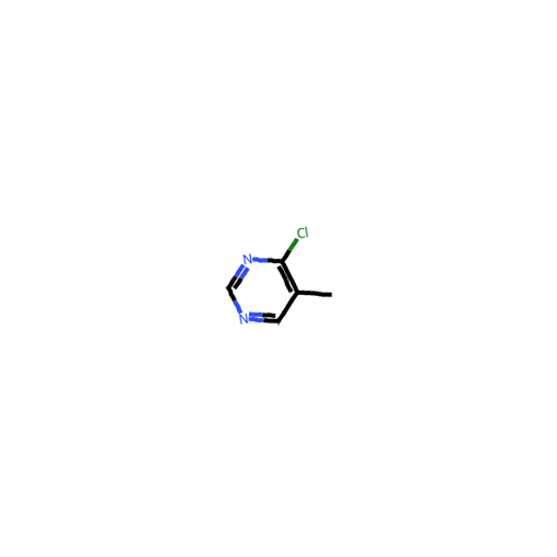 Cc1[c]ncnc1Cl